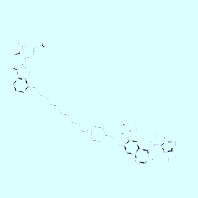 COC(=O)CCC(C(N)=O)N1Cc2c(CCCCCCCCCCN3CCC(COc4cc5ncnc(Nc6n[nH]c(C)c6C)c5cc4S(=O)(=O)C(C)(C)C)CC3)cccc2C1=O